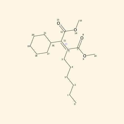 CCCCCC/C(C(=O)OC)=C(/C(=O)OC)C1CCCCC1